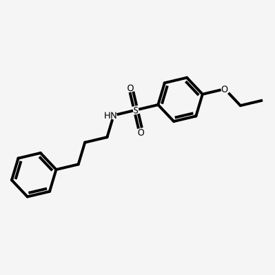 CCOc1ccc(S(=O)(=O)NCCCc2ccccc2)cc1